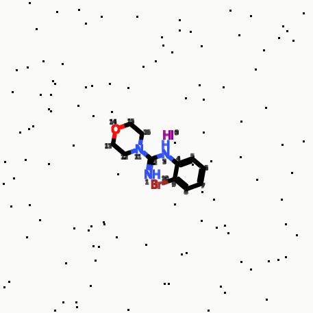 I.N=C(Nc1ccccc1Br)N1CCOCC1